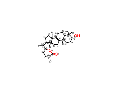 C[C@H]([C@@H]1CC[C@@H](C)C(=O)O1)[C@H]1CC[C@@]2(C)C3=C(CC[C@]12C)[C@@]1(C)CC[C@@H](O)C(C)(C)C1CC3